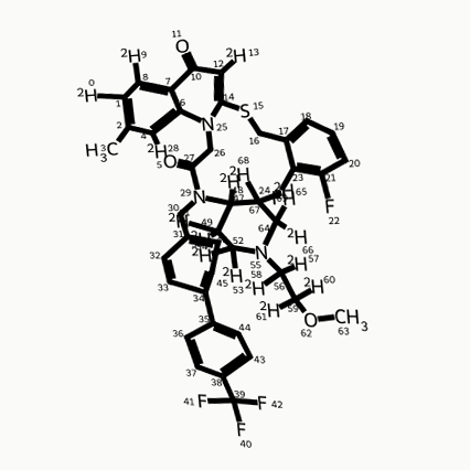 [2H]c1c(C)c([2H])c2c(c1[2H])c(=O)c([2H])c(SCc1cccc(F)c1F)n2CC(=O)N(Cc1ccc(-c2ccc(C(F)(F)F)cc2)cc1)C1([2H])C([2H])([2H])C([2H])([2H])N(C([2H])([2H])C([2H])([2H])OC)C([2H])([2H])C1([2H])[2H]